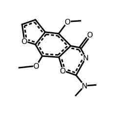 COc1c2occc2c(OC)c2c(=O)nc(N(C)C)oc12